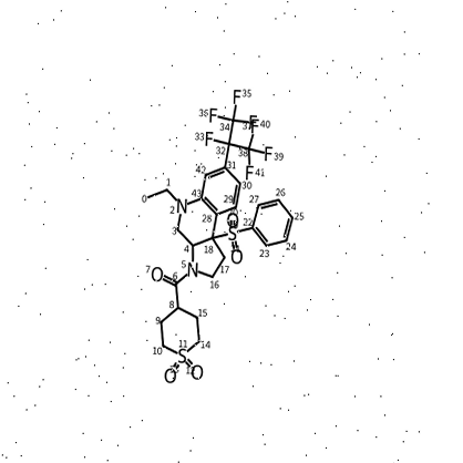 CCN1CC2N(C(=O)C3CCS(=O)(=O)CC3)CCC2(S(=O)(=O)c2ccccc2)c2ccc(C(F)(C(F)(F)F)C(F)(F)F)cc21